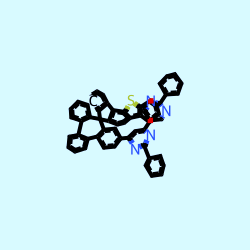 c1ccc(-c2ncc(-c3cc(-c4ccc5c(c4)C4(c6ccccc6-c6ccccc6-5)c5ccccc5-c5c4ccc4c5sc5ccccc54)nc(-c4ccccc4)n3)cn2)cc1